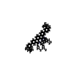 C=C/C=C(\C=C)c1c(-c2ccc(-c3ccc(F)c(C(F)(F)F)c3)cc2)ccc(-c2ccc(-c3ccc(F)c(C(F)(F)F)c3)cc2)c1C(/C=C\C)=C/C